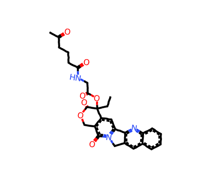 CCC1(OC(=O)CNC(=O)CCCC(C)=O)C(=O)OCc2c1cc1n(c2=O)Cc2cc3ccccc3nc2-1